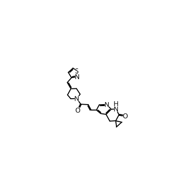 O=C(/C=C/c1cnc2c(c1)CC1(CC1)C(=O)N2)N1CCC(=Cc2ccsn2)CC1